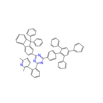 Cc1ccc(-c2ccccc2-c2nc(-c3ccc(-c4c(-c5ccccc5)cc(-c5ccccc5)cc4-c4ccccc4)cc3)nc(-c3ccc4c(c3)C(c3ccccc3)(c3ccccc3)c3ccccc3-4)n2)c(C)n1